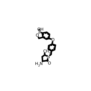 CC1C[C@@H](N)C(=O)N1Cc1ccc(Oc2ccc3c(c2)COB3O)cc1